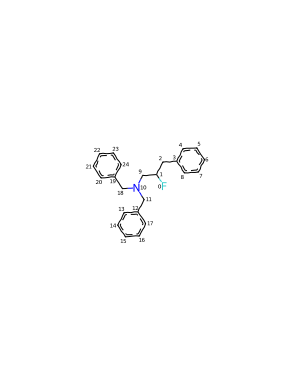 FC(Cc1ccccc1)CN(Cc1ccccc1)Cc1ccccc1